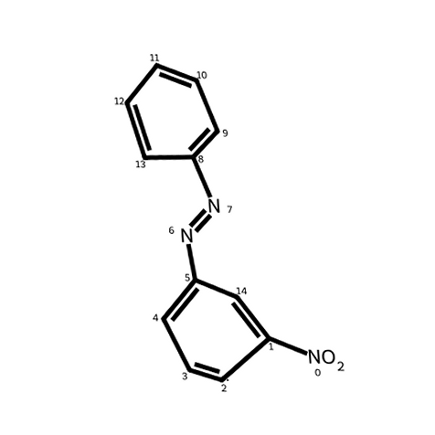 O=[N+]([O-])c1[c]ccc(N=Nc2ccccc2)c1